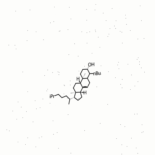 CCCCC1C2CC=C3[C@@H]4CC[C@H](C(C)CCCC(C)C)[C@@]4(C)CC[C@@H]3[C@@]2(C)CC[C@@H]1O